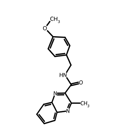 COc1ccc(CNC(=O)c2nc3ccccc3nc2C)cc1